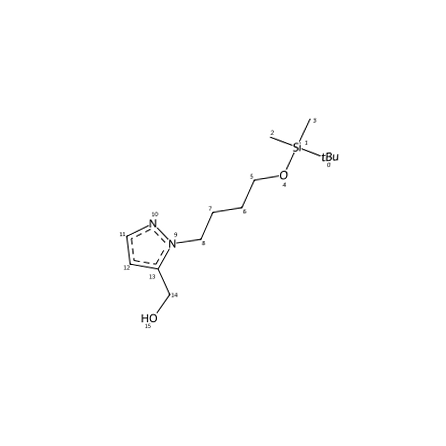 CC(C)(C)[Si](C)(C)OCCCCn1nccc1CO